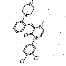 CN1CCN(c2ccccc2C=C2C(=O)N(c3ccc(Cl)c(Cl)c3)C=CN2C)CC1